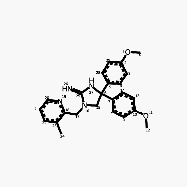 COc1ccc(C2(c3ccc(OC)cc3)CN(Cc3ncccc3C)C(=N)N2)cc1